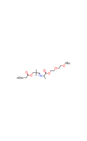 CCCCCCCCCCCC(=O)OCC(C)(C)/C=N/C(C)C(=O)OCCOCCOCCCC